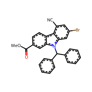 COC(=O)c1ccc2c3c(C#N)cc(Br)cc3n(C(c3ccccc3)c3ccccc3)c2c1